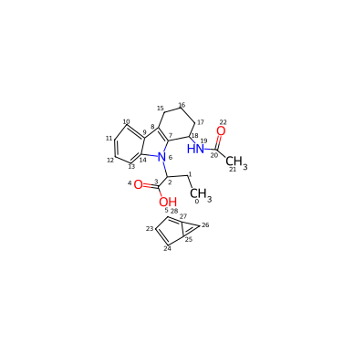 CCC(C(=O)O)n1c2c(c3ccccc31)CCCC2NC(C)=O.c1cc2cc-2c1